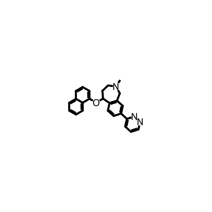 CN1CCC(Oc2cccc3ccccc23)c2ccc(-c3cccnn3)cc2C1